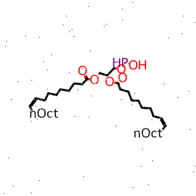 CCCCCCCC/C=C\CCCCCCCC(=O)OCC(COPO)OC(=O)CCCCCCC/C=C\CCCCCCCC